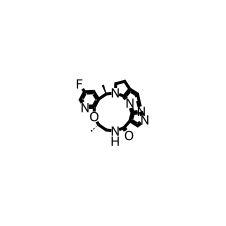 C[C@@H]1c2cc(F)cnc2O[C@@H](C)CNC(=O)c2cnn3cc4c(nc23)N1CC4